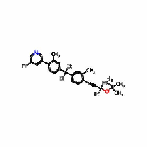 CCc1cncc(-c2ccc(C(CC)(CC)c3ccc(C#CC(CC)(CC)O[Si](C)(C)C)c(C)c3)cc2C)c1